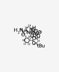 CC(C)(C)CCC(OC(=O)c1ccccc1)OS(=O)(=O)ON1C(=O)N2C[C@H]1CC[C@H]2C(N)=O